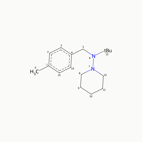 Cc1ccc(CN(N2CCCCC2)C(C)(C)C)cc1